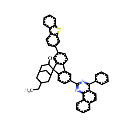 CCC1CC2CC(C)C3(c4ccc(-c5nc(-c6ccccc6)c6ccc7ccccc7c6n5)cc4-c4ccc(-c5ccc6c(c5)sc5ccccc56)cc43)C(C1)C2